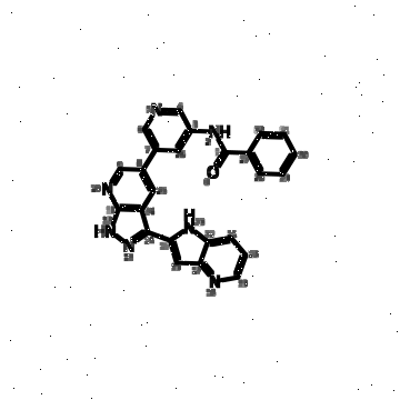 O=C(Nc1cncc(-c2cnc3[nH]nc(-c4cc5ncccc5[nH]4)c3c2)c1)c1ccccc1